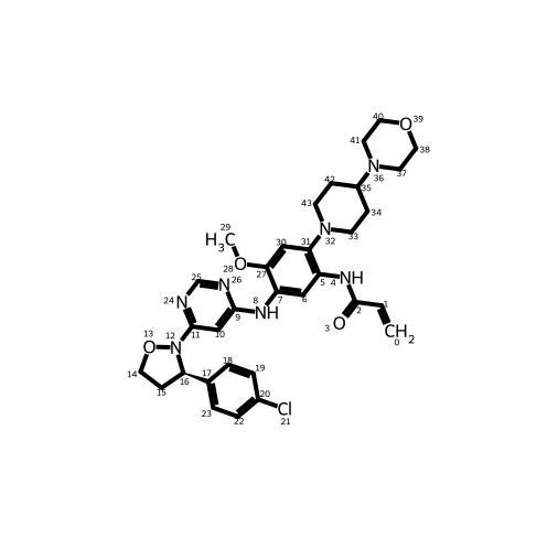 C=CC(=O)Nc1cc(Nc2cc(N3OCC[C@@H]3c3ccc(Cl)cc3)ncn2)c(OC)cc1N1CCC(N2CCOCC2)CC1